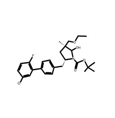 CCOC[C@]1(C)C[C@@H](Cc2ccc(-c3cc(Cl)ccc3F)cc2)N(C(=O)OC(C)(C)C)C1O